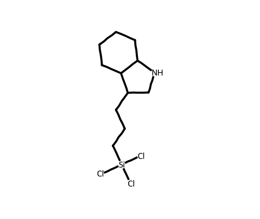 Cl[Si](Cl)(Cl)CCCC1CNC2CCCCC12